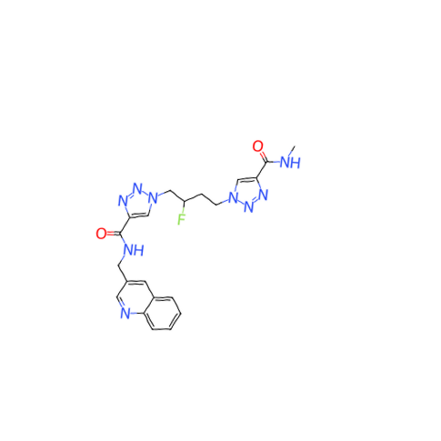 CNC(=O)c1cn(CCC(F)Cn2cc(C(=O)NCc3cnc4ccccc4c3)nn2)nn1